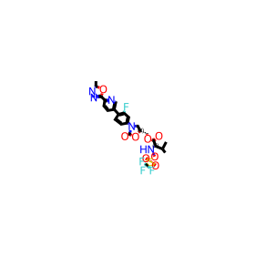 Cc1nnc(-c2ccc(-c3ccc(N4C[C@H](COC(=O)[C@@H](NOS(=O)(=O)C(F)(F)F)C(C)C)OC4=O)cc3F)cn2)o1